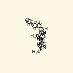 C=Cn1nc(Nc2ccc3c(c2)CCN(C2CCOCC2)C3)nc1C(=C)N1CC(CC#N)(n2cc(CC)cn2)C1